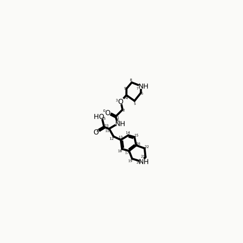 O=C(COC1CCNCC1)NC(Cc1ccc2c(c1)CNCC2)C(=O)O